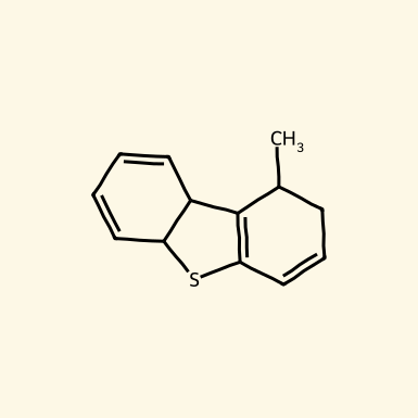 CC1CC=CC2=C1C1C=CC=CC1S2